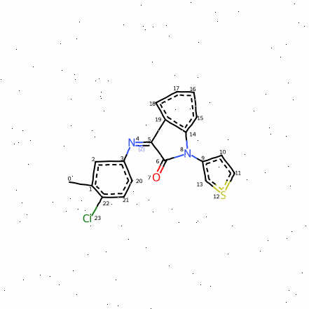 Cc1cc(/N=C2\C(=O)N(c3ccsc3)c3ccccc32)ccc1Cl